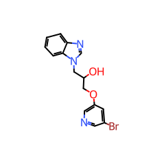 OC(COc1cncc(Br)c1)Cn1cnc2ccccc21